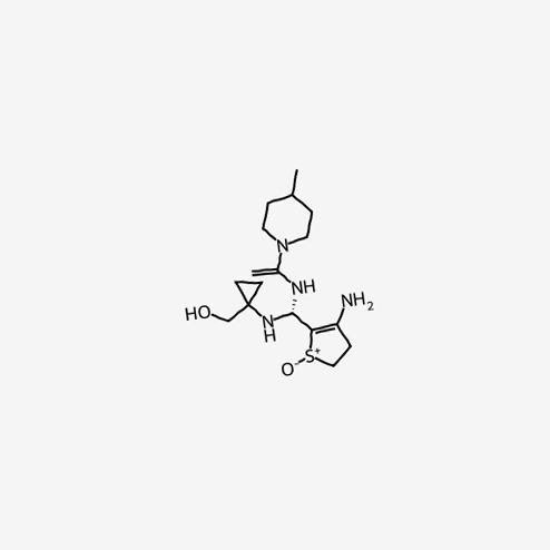 C=C(N[C@@H](NC1(CO)CC1)C1=C(N)CC[S+]1[O-])N1CCC(C)CC1